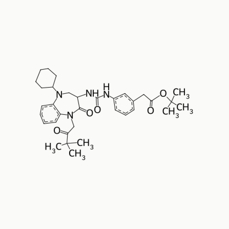 CC(C)(C)OC(=O)Cc1cccc(NC(=O)NC2CN(C3CCCCC3)c3ccccc3N(CC(=O)C(C)(C)C)C2=O)c1